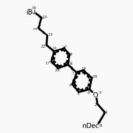 CCCCCCCCCCCCOc1ccc(-c2ccc(CCCCC(C)CC)cc2)cc1